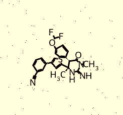 CN1C(=N)N[C@](C)(c2cc(-c3cccc(C#N)c3)cs2)[C@H](c2ccc(OC(F)F)cc2)C1=O